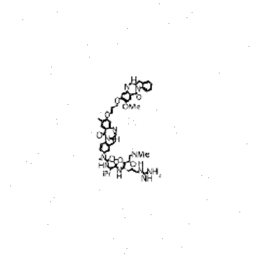 CNCC(=O)C(=O)[C@H](CCCNC(=N)N)NC(=O)[C@@H](NC(=O)N(C)c1ccc2c(c1)C[C@H]1C=Nc3cc(OCCCOc4cc5c(cc4OC)C(=O)N4c6ccccc6C[C@H]4C=N5)c(C)cc3C(=O)N21)C(C)C